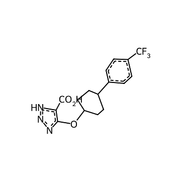 O=C(O)c1[nH]nnc1OC1CCC(c2ccc(C(F)(F)F)cc2)CC1